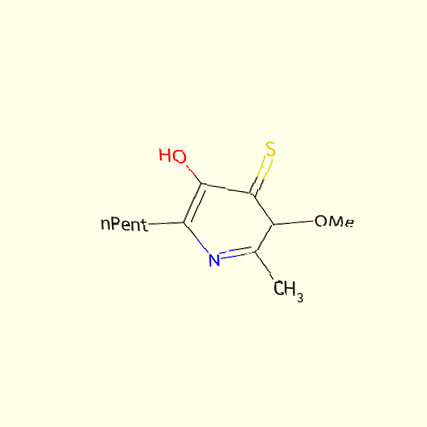 CCCCCC1=C(O)C(=S)C(OC)C(C)=N1